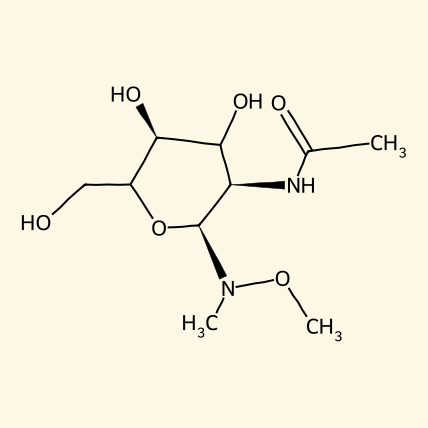 CON(C)[C@H]1OC(CO)[C@@H](O)C(O)[C@H]1NC(C)=O